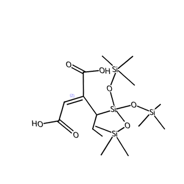 CCC(/C(=C\C(=O)O)C(=O)O)[Si](O[Si](C)(C)C)(O[Si](C)(C)C)O[Si](C)(C)C